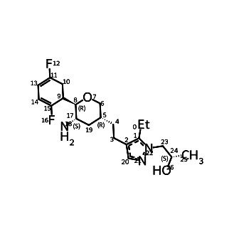 CCc1c(CC[C@H]2CO[C@H](C3CC(F)=CC=C3F)[C@@H](N)C2)cnn1C[C@H](C)O